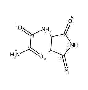 NC(=O)C(N)=O.O=C1CCC(=O)N1